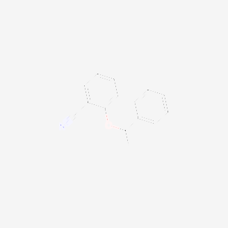 CC(Oc1ccccc1C#N)c1ccccc1